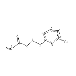 COC(=O)CSCc1cccc(I)c1